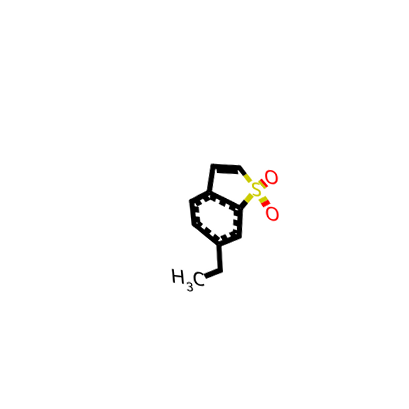 CCc1ccc2c(c1)S(=O)(=O)C=C2